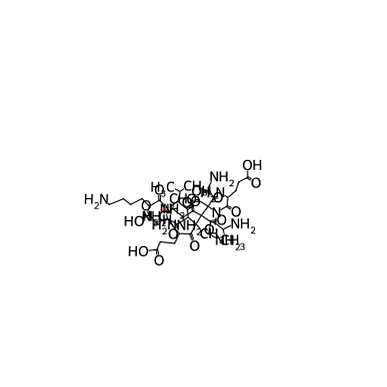 CC(N)C(=O)N(C(=O)C(N)CCC(=O)O)C(C(=O)O)(C(=O)CN)C(C(=O)CN)(C(=O)C(N)C(C)C)C(C)(C(=O)C(N)CCC(=O)O)C(C(=O)C(N)CC(=O)O)C(=O)C(NC(=O)C(N)CCCCN)C(C)C